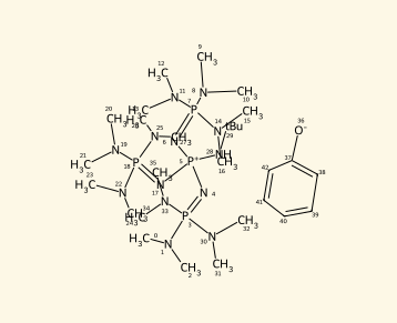 CN(C)P(=N[P+](N=P(N(C)C)(N(C)C)N(C)C)(N=P(N(C)C)(N(C)C)N(C)C)NC(C)(C)C)(N(C)C)N(C)C.[O-]c1ccccc1